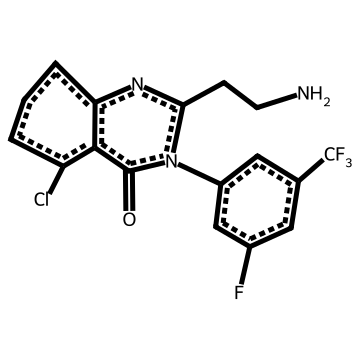 NCCc1nc2cccc(Cl)c2c(=O)n1-c1cc(F)cc(C(F)(F)F)c1